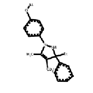 CCOc1ccc(N2NC(CC)(c3ccccc3)C(C(=O)O)=C2C)cc1